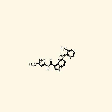 Cc1cc(NC(=O)c2cnn3ccc(Nc4ncccc4C(F)(F)F)nc23)on1